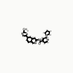 Cc1nnc(-c2ccc3cnc(NC(=O)c4ccnc(N5CCCC5)c4)cc3c2)s1